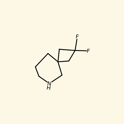 FC1(F)CC2(CCCNC2)C1